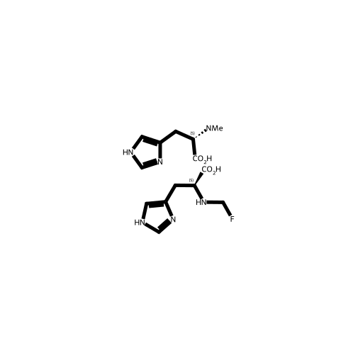 CN[C@@H](Cc1c[nH]cn1)C(=O)O.O=C(O)[C@H](Cc1c[nH]cn1)NCF